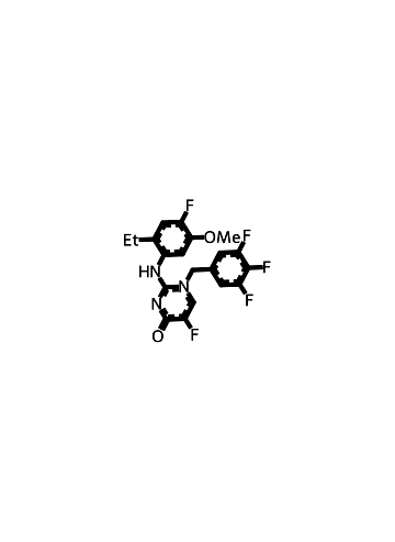 CCc1cc(F)c(OC)cc1Nc1nc(=O)c(F)cn1Cc1cc(F)c(F)c(F)c1